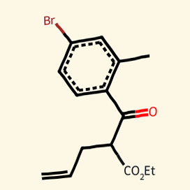 C=CCC(C(=O)OCC)C(=O)c1ccc(Br)cc1C